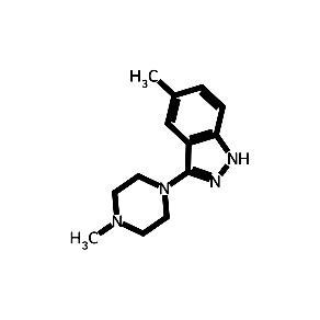 Cc1ccc2[nH]nc(N3CCN(C)CC3)c2c1